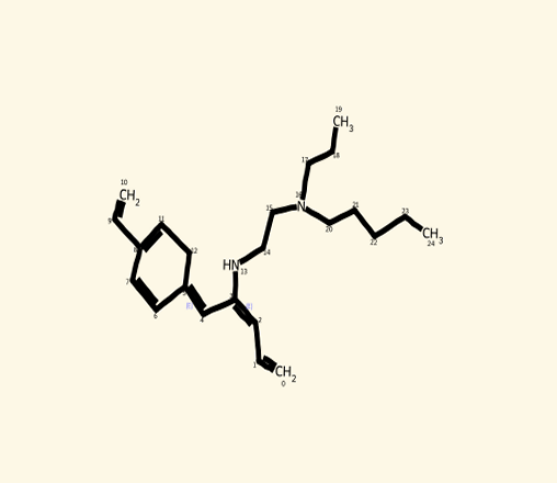 C=C/C=C(\C=C1\C=CC(C=C)=CC1)NCCN(CCC)CCCCC